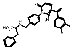 C=C(c1ccc(F)c(C)c1)c1ccc(=O)n(-c2ccc(CN[C@@H](Cc3ccccc3)C(=O)O)cc2)c1N